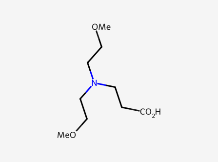 COCCN(CCOC)CCC(=O)O